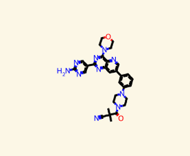 CC(C)(C#N)C(=O)N1CCN(c2cccc(-c3cnc4c(N5CCOCC5)nc(-c5cnc(N)nc5)nc4c3)c2)CC1